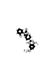 Nc1ccc(OC(F)(F)F)cc1NC(=O)[C@H]1CC[C@]2(CC1)CN(c1ccccc1Cl)C(=O)O2